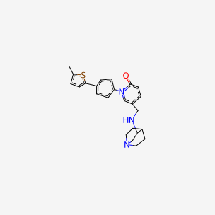 Cc1ccc(-c2ccc(-n3cc(CNC4CN5CCC4CC5)ccc3=O)cc2)s1